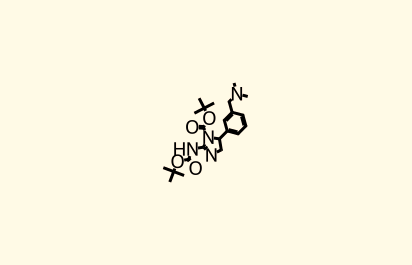 CN(C)Cc1cccc(C2CN=C(NC(=O)OC(C)(C)C)N2C(=O)OC(C)(C)C)c1